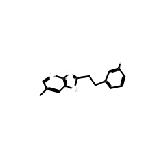 Clc1cccc(CCc2nc3ncc(Br)cc3[nH]2)c1